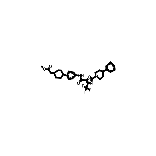 COC(=O)CC1CCC(c2ccc(NC(=O)c3oc(N4CCC(c5ccccc5)CC4)nc3C(F)(F)F)cc2)CC1